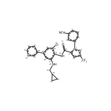 N#Cc1cccc(-n2nc(C(F)(F)F)cc2C(=O)Nc2c(Cl)cc(-c3cccnc3)cc2NCC2CC2)c1